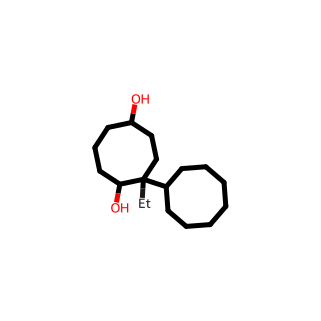 CCC1(C2CCCCCCC2)CCC(O)CCCC1O